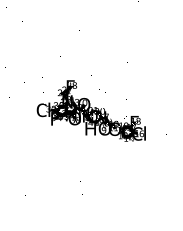 O=C(NN1CCN(C[C@@H](O)COc2ccc(Cl)c(F)c2)CC1)c1cn(C2CC2F)c2cc(Cl)c(F)cc2c1=O